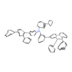 c1ccc(-c2cccc(N(c3ccc(-c4ccc(-c5ccccc5)cc4-c4ccccc4)cc3)c3cccc(-c4ccc5c(c4)c(-c4ccccc4)c(-c4ccccc4)c4ccccc45)c3)c2)cc1